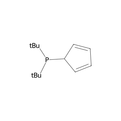 CC(C)(C)P(C1C=CC=C1)C(C)(C)C